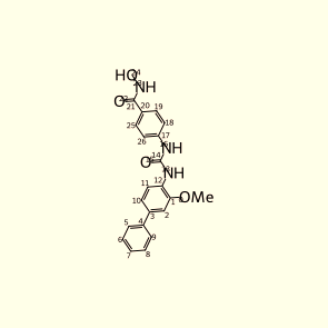 COc1cc(-c2ccccc2)ccc1NC(=O)Nc1ccc(C(=O)NO)cc1